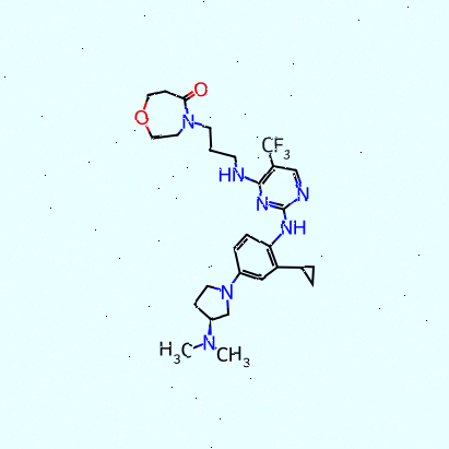 CN(C)[C@H]1CCN(c2ccc(Nc3ncc(C(F)(F)F)c(NCCCN4CCOCCC4=O)n3)c(C3CC3)c2)C1